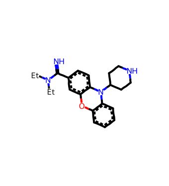 CCN(CC)C(=N)c1ccc2c(c1)Oc1ccccc1N2C1CCNCC1